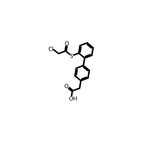 O=C(O)Cc1ccc(-c2ccccc2SC(=O)CCl)cc1